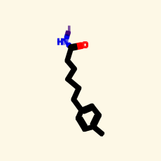 Cc1ccc(CCCCCC(=O)NI)cc1